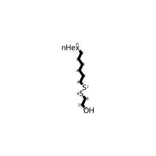 CCCCCCCCCCCCSSCCO